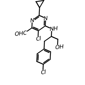 O=Cc1nc(C2CC2)nc(NC(CO)Cc2ccc(Cl)cc2)c1Cl